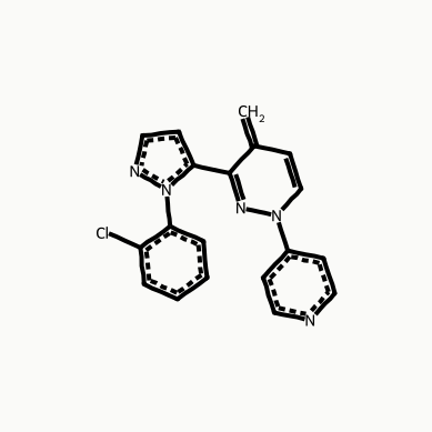 C=C1C=CN(c2ccncc2)N=C1c1ccnn1-c1ccccc1Cl